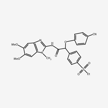 CCS(=O)(=O)c1ccc(C(Oc2ccc(C#N)cc2)C(=O)Nc2nc3cc(OC)c(OC)cc3n2C)cc1